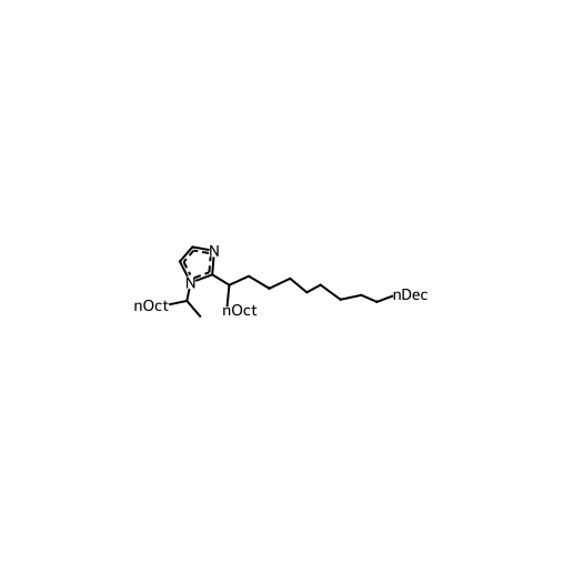 CCCCCCCCCCCCCCCCCCC(CCCCCCCC)c1nccn1C(C)CCCCCCCC